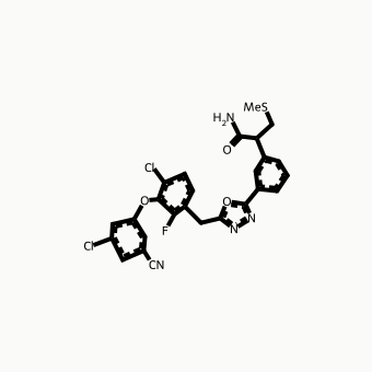 CSCC(C(N)=O)c1cccc(-c2nnc(Cc3ccc(Cl)c(Oc4cc(Cl)cc(C#N)c4)c3F)o2)c1